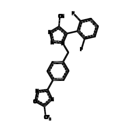 N#Cc1nnn(Cc2ccc(-c3noc(C(F)(F)F)n3)cc2)c1-c1c(F)cccc1F